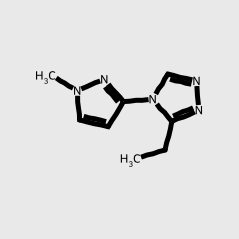 CCc1nncn1-c1ccn(C)n1